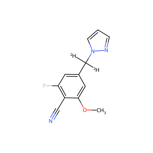 [2H]C([2H])(c1cc(F)c(C#N)c(OC)c1)n1cccn1